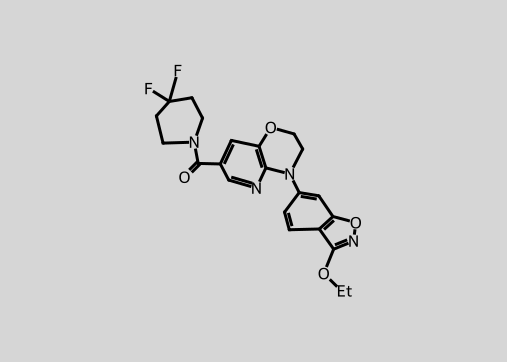 CCOc1noc2cc(N3CCOc4cc(C(=O)N5CCC(F)(F)CC5)cnc43)ccc12